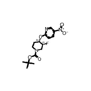 CC(C)(C)OC(=O)N1CC[C@@H](Oc2ccc([N+](=O)[O-])cn2)[C@@H](F)C1